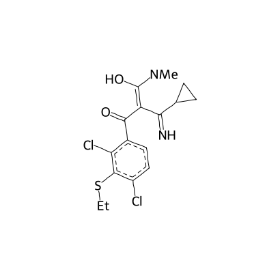 CCSc1c(Cl)ccc(C(=O)/C(C(=N)C2CC2)=C(\O)NC)c1Cl